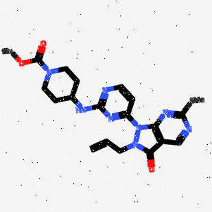 C=CCn1c(=O)c2cnc(SC)nc2n1-c1ccnc(NC2CCN(C(=O)OC(C)(C)C)CC2)n1